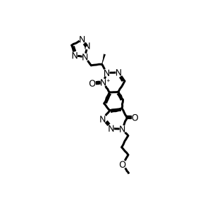 COCCCn1nnc2cc3c(cnn([C@H](C)Cn4ncnn4)[n+]3=O)cc2c1=O